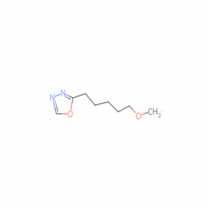 [CH2]OCCCCCc1nnco1